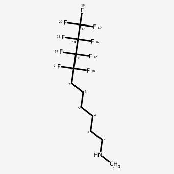 CNCCCCCCC(F)(F)C(F)(F)C(F)(F)C(F)(F)F